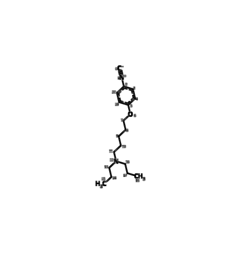 [C-]#[N+]c1ccc(OCCCCCN(CCC)CCC)cc1